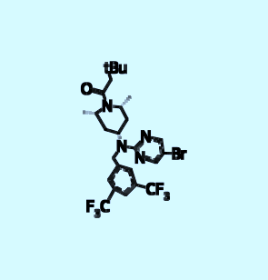 C[C@@H]1C[C@H](N(Cc2cc(C(F)(F)F)cc(C(F)(F)F)c2)c2ncc(Br)cn2)C[C@H](C)N1C(=O)CC(C)(C)C